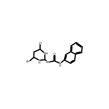 CC(C)C1CC(Cl)NC(NC(=O)Nc2ccc3ccccc3c2)N1